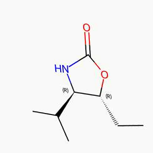 CC[C@H]1OC(=O)N[C@@H]1C(C)C